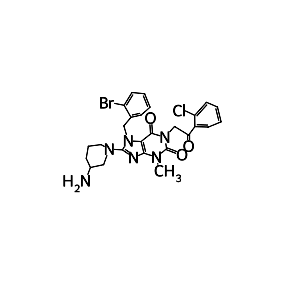 Cn1c(=O)n(CC(=O)c2ccccc2Cl)c(=O)c2c1nc(N1CCCC(N)C1)n2Cc1ccccc1Br